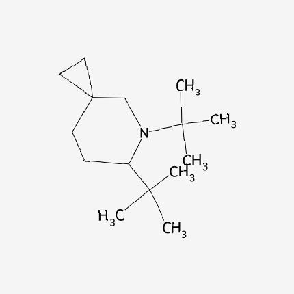 CC(C)(C)C1CCC2(CC2)CN1C(C)(C)C